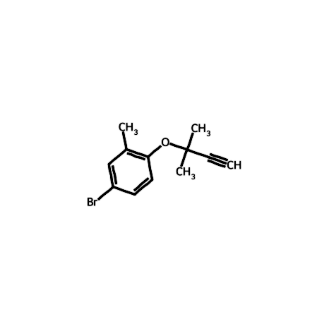 C#CC(C)(C)Oc1ccc(Br)cc1C